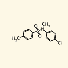 [CH2]c1ccc(S(=O)(=O)N(C)c2ccc(Cl)cc2)cc1